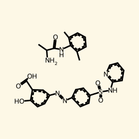 Cc1cccc(C)c1NC(=O)C(C)N.O=C(O)c1cc(N=Nc2ccc(S(=O)(=O)Nc3ccccn3)cc2)ccc1O